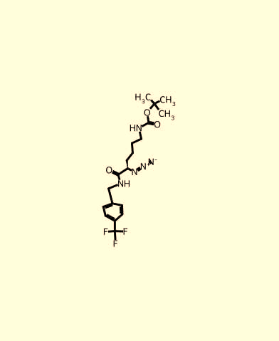 CC(C)(C)OC(=O)NCCCC[C@@H](N=[N+]=[N-])C(=O)NCc1ccc(C(F)(F)F)cc1